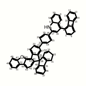 C1=CC2=C(c3cccc4c3-c3ccccc3-4)C=C(c3ccc(-c4ccc5c(c4)C4(C6=C(CCC=C6)c6ccccc64)c4ccc6c(oc7ccccc76)c4-5)cc3)NC2C=C1